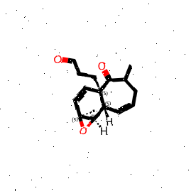 CC1CC=C[C@@H]2[C@H]3O[C@@]3(C)C=C[C@]2(CCC=O)C1=O